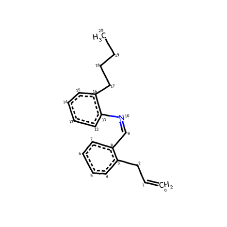 C=CCc1ccccc1/C=N\c1ccccc1CCCC